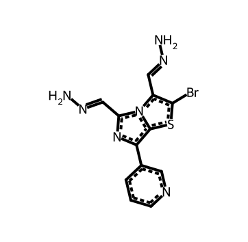 NN=Cc1nc(-c2cccnc2)c2sc(Br)c(C=NN)n12